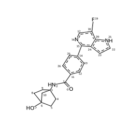 O=C(NC12CCC(O)(CC1)C2)c1ccc(-c2ncc(F)c3[nH]ccc23)cc1